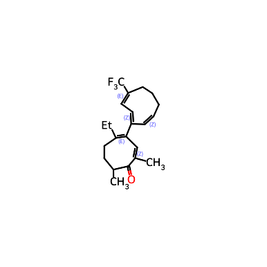 CC\C1=C(C2=C\C=C(\C(F)(F)F)CCC/C=C\2)\C=C(\C)C(=O)C(C)CC1